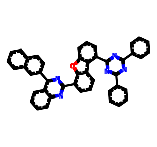 c1ccc(-c2nc(-c3ccccc3)nc(-c3cccc4oc5c(-c6nc(-c7ccc8ccccc8c7)c7ccccc7n6)cccc5c34)n2)cc1